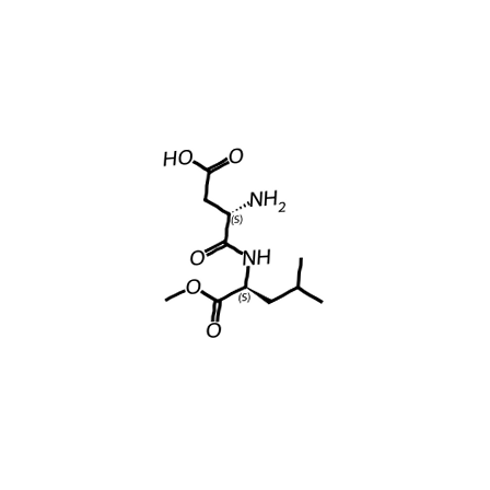 COC(=O)[C@H](CC(C)C)NC(=O)[C@@H](N)CC(=O)O